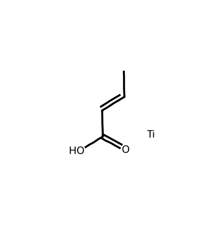 CC=CC(=O)O.[Ti]